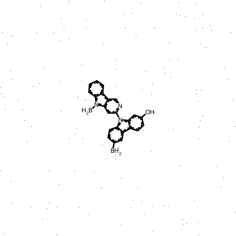 Bc1ccc2c(c1)c1ccc(O)cc1n2-c1cc2c(cn1)c1ccccc1n2B